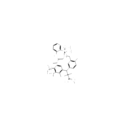 CC[C@@H]1CN(Cc2cc(C(c3ccc4c(nnn4C)c3C)C(C)(C)C(=O)OC)ccc2C)S(O)(O)c2ccccc2O1